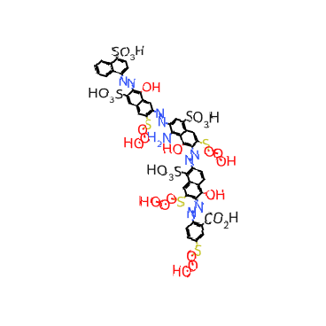 Nc1c(N=Nc2cc3c(O)c(N=Nc4ccc(S(=O)(=O)O)c5ccccc45)c(S(=O)(=O)O)cc3cc2SOOO)cc(S(=O)(=O)O)c2cc(SOOO)c(N=Nc3ccc4c(O)c(N=Nc5ccc(SOOO)cc5C(=O)O)c(SOOO)cc4c3S(=O)(=O)O)c(O)c12